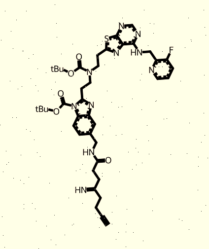 C#CCCC(=N)CCC(=O)NCc1ccc2c(c1)nc(CCN(CCc1nc3c(NCc4ncccc4F)ncnc3s1)C(=O)OC(C)(C)C)n2C(=O)OC(C)(C)C